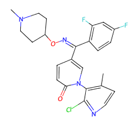 Cc1ccnc(Cl)c1-n1cc(/C(=N\OC2CCN(C)CC2)c2ccc(F)cc2F)ccc1=O